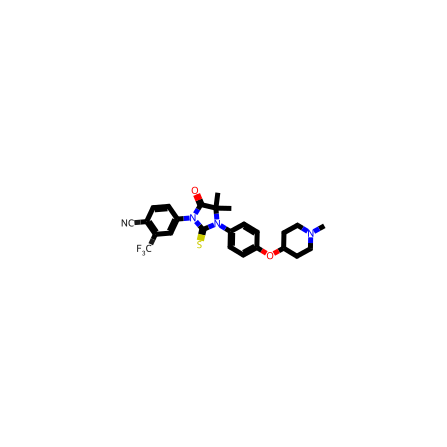 CN1CCC(Oc2ccc(N3C(=S)N(c4ccc(C#N)c(C(F)(F)F)c4)C(=O)C3(C)C)cc2)CC1